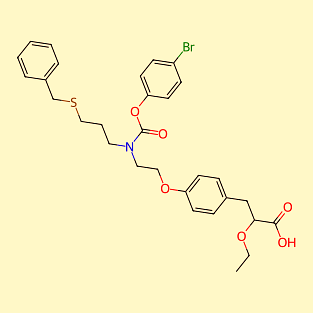 CCOC(Cc1ccc(OCCN(CCCSCc2ccccc2)C(=O)Oc2ccc(Br)cc2)cc1)C(=O)O